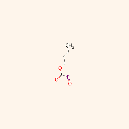 CCCCOC(=O)P=O